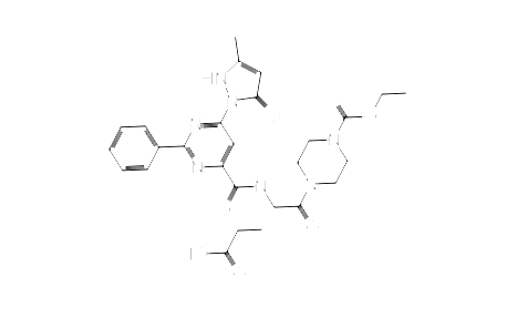 CCOC(=O)N1CCN(C(=O)[C@H](CCC(=O)O)NC(=O)c2cc(-n3[nH]c(C)cc3=O)nc(-c3ccccc3)n2)CC1